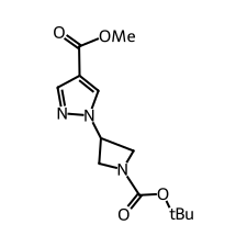 COC(=O)c1cnn(C2CN(C(=O)OC(C)(C)C)C2)c1